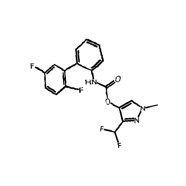 Cn1cc(OC(=O)Nc2ccccc2-c2cc(F)ccc2F)c(C(F)F)n1